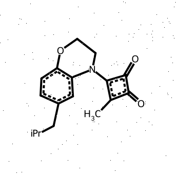 Cc1c(N2CCOc3ccc(CC(C)C)cc32)c(=O)c1=O